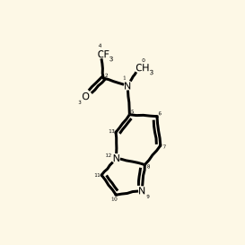 CN(C(=O)C(F)(F)F)c1ccc2nccn2c1